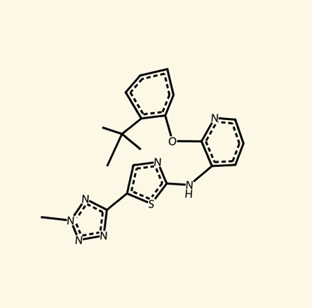 Cn1nnc(-c2cnc(Nc3cccnc3Oc3ccccc3C(C)(C)C)s2)n1